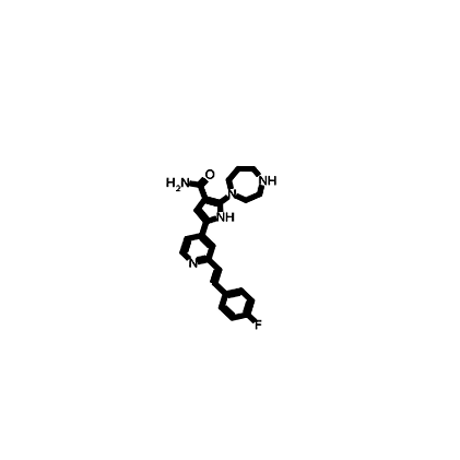 NC(=O)c1cc(-c2ccnc(/C=C/c3ccc(F)cc3)c2)[nH]c1N1CCCNCC1